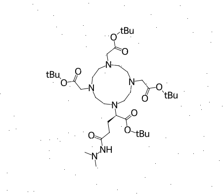 CN(C)NC(=O)CC[C@H](C(=O)OC(C)(C)C)N1CCN(CC(=O)OC(C)(C)C)CCN(CC(=O)OC(C)(C)C)CCN(CC(=O)OC(C)(C)C)CC1